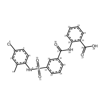 Cc1cc(Cl)ccc1NS(=O)(=O)c1cccc(C(=O)Nc2ccccc2C(=O)O)c1